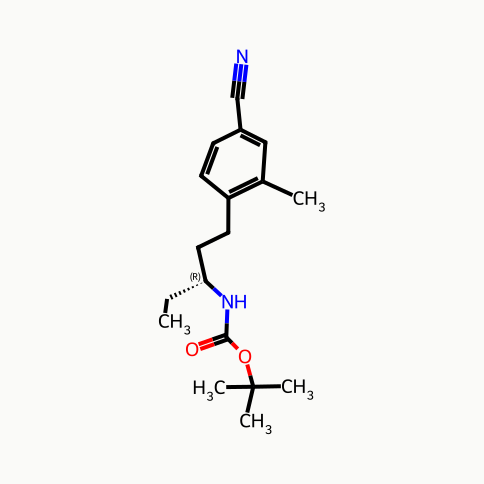 CC[C@H](CCc1ccc(C#N)cc1C)NC(=O)OC(C)(C)C